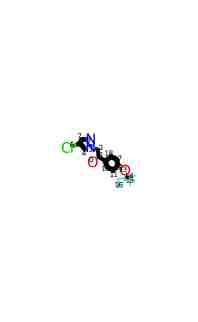 O=C(Cn1cc(Cl)cn1)c1ccc(OC(F)F)cc1